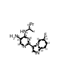 CC(C)C(C)Nc1nc(-c2cnc3ccc(F)cn23)ncc1N